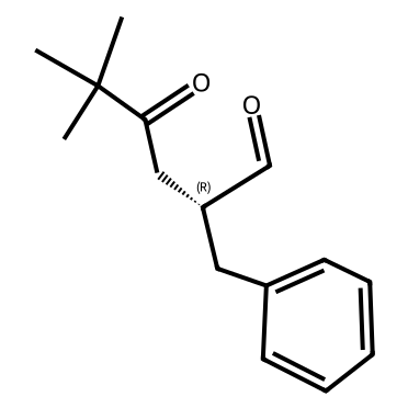 CC(C)(C)C(=O)C[C@H](C=O)Cc1ccccc1